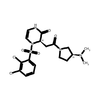 CN(C)[C@H]1CCN(C(=O)C[C@@H]2C(=O)NC=CN2S(=O)(=O)c2cccc(Cl)c2Cl)C1